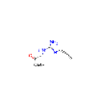 C=C=CN=C(N)NCC(=O)OC